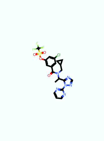 CC(c1ncnn1-c1ncccn1)N(CC1CC1)C(=O)c1cc(Cl)cc(OS(=O)(=O)C(F)(F)F)c1